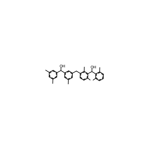 Cc1cc(C)cc(C(O)c2cc(C)cc(Cc3ccc(C)c(C(O)c4c(C)cccc4C)c3C)c2)c1